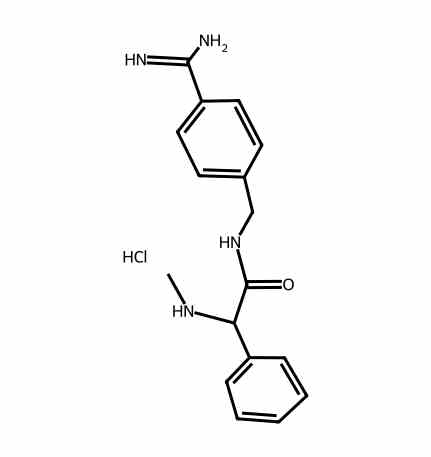 CNC(C(=O)NCc1ccc(C(=N)N)cc1)c1ccccc1.Cl